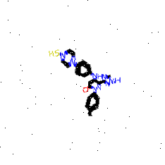 Cc1ccc(-n2nc(-c3nc[nH]n3)c(Nc3ccc(N4CCN(S)CC4)cc3)cc2=O)cc1